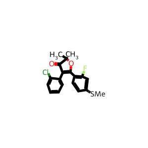 CSc1ccc(C2=C(c3ccccc3Cl)C(=O)C(C)(C)O2)c(F)c1